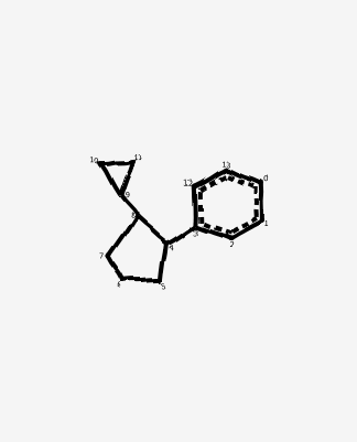 c1ccc(C2CCC[C]2C2CC2)cc1